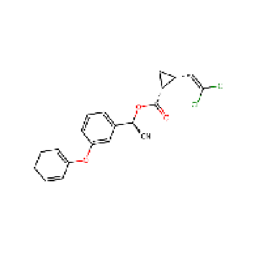 N#C[C@H](OC(=O)[C@@H]1C[C@@H]1C=C(Cl)Cl)c1cccc(OC2=CCCC=C2)c1